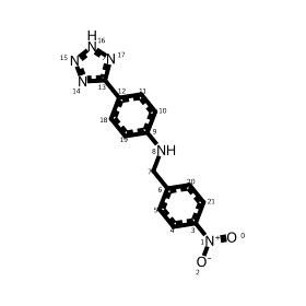 O=[N+]([O-])c1ccc(CNc2ccc(-c3nn[nH]n3)cc2)cc1